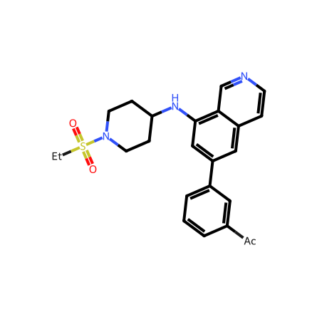 CCS(=O)(=O)N1CCC(Nc2cc(-c3cccc(C(C)=O)c3)cc3ccncc23)CC1